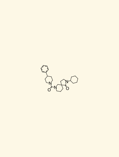 O=C(N1CCC(c2ccccc2)CC1)N1CCCC2(CCN(C3CCCCC3)C2=O)C1